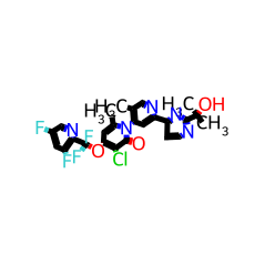 Cc1cnc(-c2ccnc(C(C)(C)O)n2)cc1-n1c(C)cc(OC(F)(F)c2ncc(F)cc2F)c(Cl)c1=O